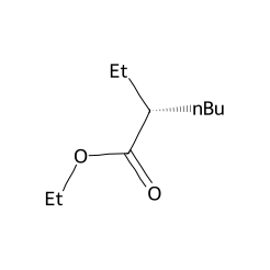 CCCC[C@@H](CC)C(=O)OCC